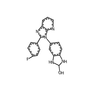 OC1Nc2ccc(-n3c(-c4ccc(F)cc4)nc4cccnc43)cc2N1